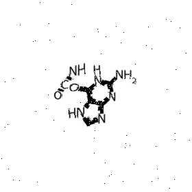 N=C=O.Nc1nc2nc[nH]c2c(=O)[nH]1